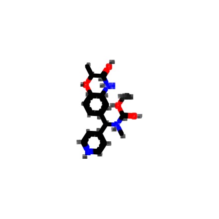 CC1Oc2ccc(C(c3ccncc3)N(C)C(=O)OC(C)(C)C)cc2NC1=O